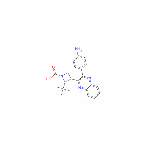 CC(C)(C)C1C(c2nc3ccccc3nc2-c2ccc(N)cc2)CN1C(=O)O